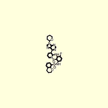 O=S(=O)(Nc1ccc(F)c(Nc2ncccc2-c2ncnc3c2ncn3C2CCCCO2)c1F)c1cccc2c1OCCC2